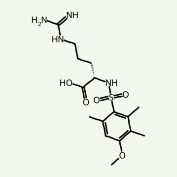 COc1cc(C)c(S(=O)(=O)N[C@@H](CCCNC(=N)N)C(=O)O)c(C)c1C